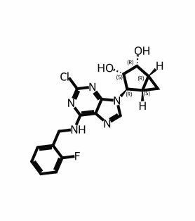 O[C@@H]1[C@H](O)[C@@H]2C[C@@H]2[C@H]1n1cnc2c(NCc3ccccc3F)nc(Cl)nc21